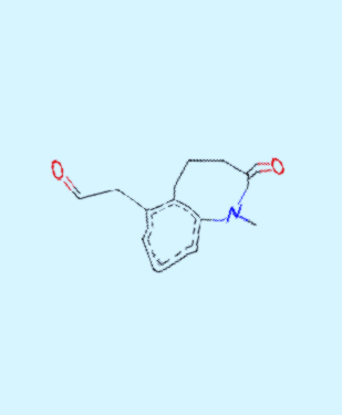 CN1C(=O)CCc2c(CC=O)cccc21